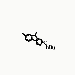 CCCCOc1ccc2c(c1)C(C)c1cc(C)ccc1-2